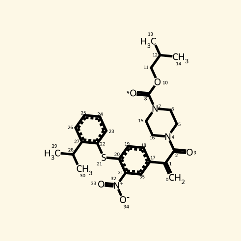 C=C(C(=O)N1CCN(C(=O)OCC(C)C)CC1)c1ccc(Sc2ccccc2C(C)C)c([N+](=O)[O-])c1